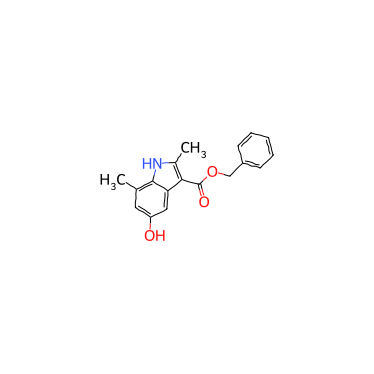 Cc1[nH]c2c(C)cc(O)cc2c1C(=O)OCc1ccccc1